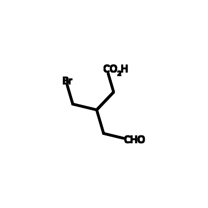 O=CCC(CBr)CC(=O)O